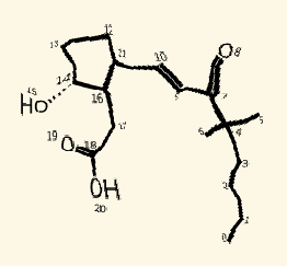 CCCCC(C)(C)C(=O)/C=C/C1CC[C@@H](O)C1CC(=O)O